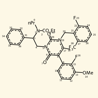 CCCN(C(=O)OCC)C(Cn1c(=O)c(-c2cccc(OC)c2F)c(C)n(Cc2c(F)cccc2C(F)(F)F)c1=O)c1ccccc1